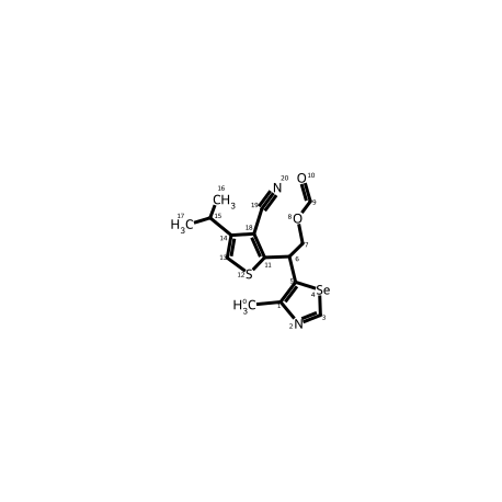 Cc1nc[se]c1C(COC=O)c1scc(C(C)C)c1C#N